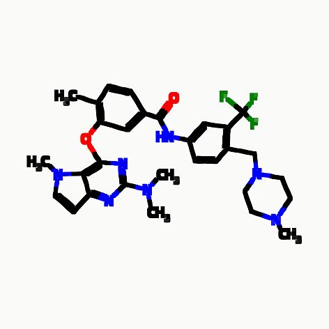 Cc1ccc(C(=O)Nc2ccc(CN3CCN(C)CC3)c(C(F)(F)F)c2)cc1Oc1nc(N(C)C)nc2ccn(C)c12